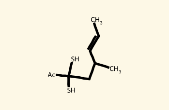 CC=CC(C)CC(S)(S)C(C)=O